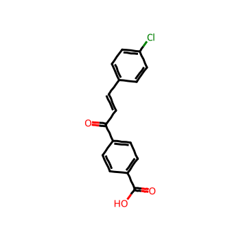 O=C(O)c1ccc(C(=O)/C=C/c2ccc(Cl)cc2)cc1